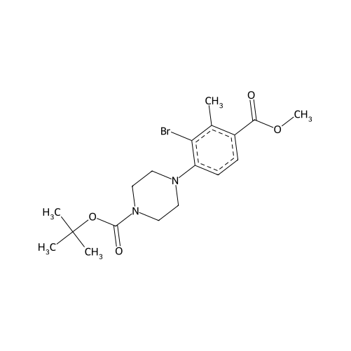 COC(=O)c1ccc(N2CCN(C(=O)OC(C)(C)C)CC2)c(Br)c1C